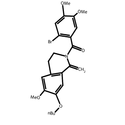 C=C1c2cc(OCCCC)c(OC)cc2CCN1C(=O)c1cc(OC)c(OC)cc1Br